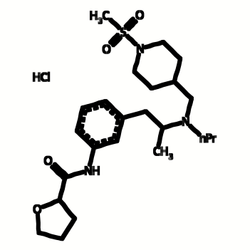 CCCN(CC1CCN(S(C)(=O)=O)CC1)C(C)Cc1cccc(NC(=O)C2CCCO2)c1.Cl